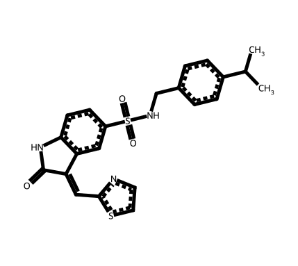 CC(C)c1ccc(CNS(=O)(=O)c2ccc3c(c2)/C(=C\c2nccs2)C(=O)N3)cc1